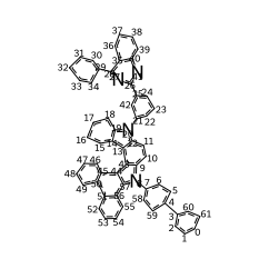 c1ccc(-c2ccc(-n3c4ccc5c(c6ccccc6n5-c5cccc(-c6nc(-c7ccccc7)c7ccccc7n6)c5)c4c4c5ccccc5c5ccccc5c43)cc2)cc1